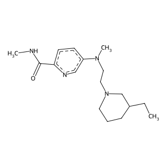 CCC1CCCN(CCN(C)c2ccc(C(=O)NC)nc2)C1